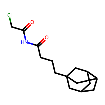 O=C(CCl)NC(=O)CCCC12CC3CC(C1)C(C3)C2